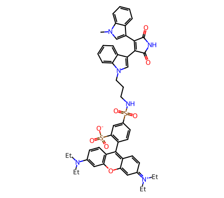 CCN(CC)c1ccc2c(-c3ccc(S(=O)(=O)NCCCn4cc(C5=C(c6cn(C)c7ccccc67)C(=O)NC5=O)c5ccccc54)cc3S(=O)(=O)[O-])c3ccc(=[N+](CC)CC)cc-3oc2c1